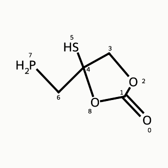 O=C1OCC(S)(CP)O1